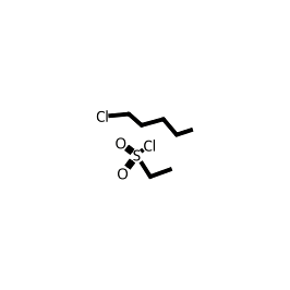 CCCCCCl.CCS(=O)(=O)Cl